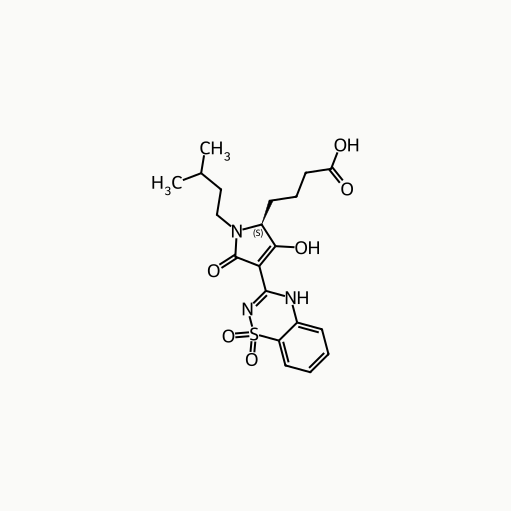 CC(C)CCN1C(=O)C(C2=NS(=O)(=O)c3ccccc3N2)=C(O)[C@@H]1CCCC(=O)O